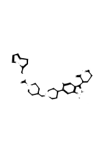 Cn1nc(C2CCC(=O)NC2=O)c2cc(F)c(C3CCN(CC4CCN(C(=O)OCC5=CCc6cccn65)CC4)CC3)cc21